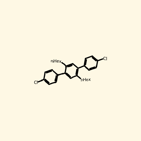 CCCCCCc1cc(-c2ccc(Cl)cc2)c(CCCCCC)cc1-c1ccc(Cl)cc1